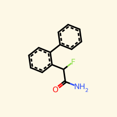 NC(=O)C(F)c1ccccc1-c1ccccc1